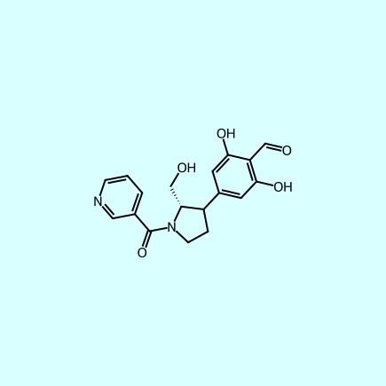 O=Cc1c(O)cc(C2CCN(C(=O)c3cccnc3)[C@@H]2CO)cc1O